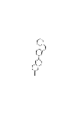 IC1CCC2CC(C3C=C4CCC5CCC=CC5C4CC3)CCC2C1